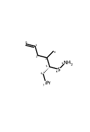 C=CCC(C)[C@@H](CC(C)C)SN